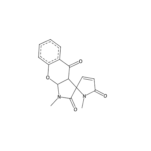 CN1C(=O)C2(C=CC(=O)N2C)C2C(=O)c3ccccc3OC21